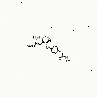 CCNC(=O)Cc1ccc(Oc2ncnc(N)c2/C=N/OC)cc1